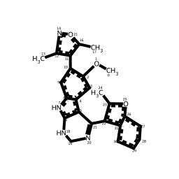 COc1cc2c3c([nH]c2cc1-c1c(C)noc1C)NCN=C3c1c(C)oc2ccccc12